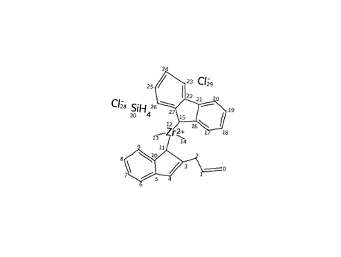 C=CCC1=Cc2ccccc2[CH]1[Zr+2]([CH3])([CH3])[CH]1c2ccccc2-c2ccccc21.[Cl-].[Cl-].[SiH4]